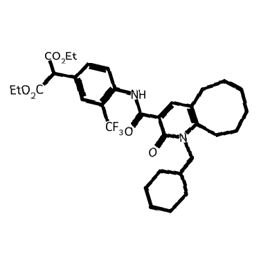 CCOC(=O)C(C(=O)OCC)c1ccc(NC(=O)c2cc3c(n(CC4CCCCC4)c2=O)CCCCCC3)c(C(F)(F)F)c1